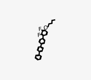 CCCCCOc1ccc(-c2ccc(-c3ccc(-c4ccccc4)cc3)cc2)c(F)c1F